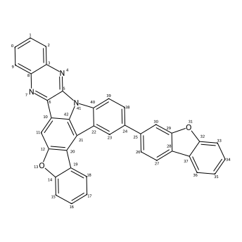 c1ccc2nc3c(nc2c1)c1cc2oc4ccccc4c2c2c4cc(-c5ccc6c(c5)oc5ccccc56)ccc4n3c12